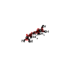 C#CCOc1ccc(C(=O)OCC(COCCOCCOCC(COC(=O)c2ccc(OCC#C)c(OCC#C)c2)OC(=O)C(=C)C)OC(=O)C(=C)C)cc1OCC#C